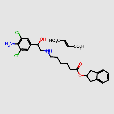 Nc1c(Cl)cc(C(O)CNCCCCCC(=O)OC2Cc3ccccc3C2)cc1Cl.O=C(O)/C=C/C(=O)O